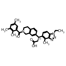 CCn1nnc2c(C)c([C@@H](CC(=O)O)c3ccc4c(c3)CN(C(=O)c3cc(C)cc(C)c3C)CC4)ccc21